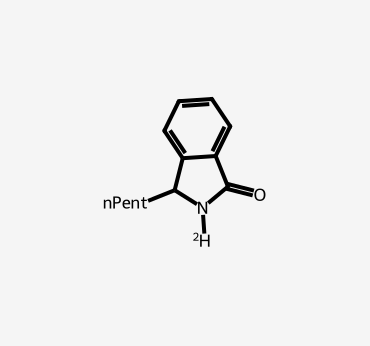 [2H]N1C(=O)c2ccccc2C1CCCCC